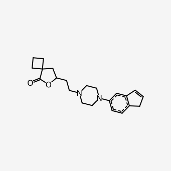 O=C1OC(CCN2CCN(c3ccc4c(c3)C=CC4)CC2)CC12CCC2